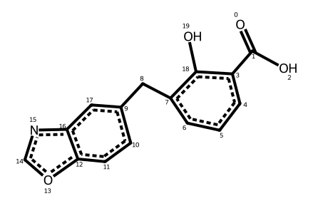 O=C(O)c1cccc(Cc2ccc3ocnc3c2)c1O